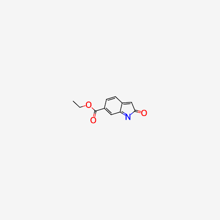 CCOC(=O)c1ccc2c(c1)=NC(=O)C=2